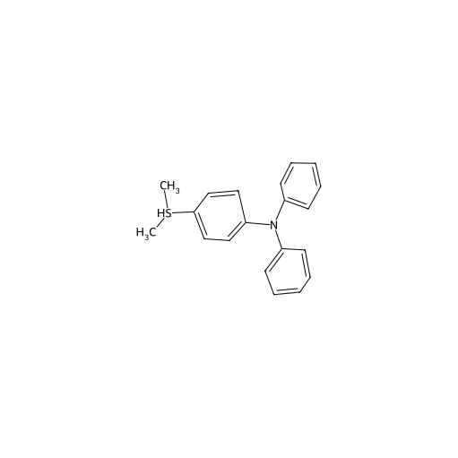 C[SH](C)c1ccc(N(c2ccccc2)c2ccccc2)cc1